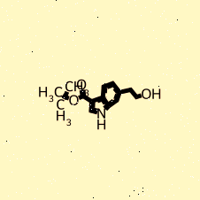 CC(C)(C)OC(=O)c1c[nH]c2cc(CCO)ccc12